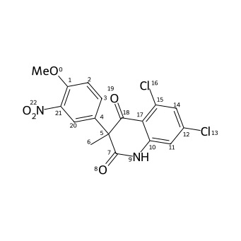 COc1ccc(C2(C)C(=O)Nc3cc(Cl)cc(Cl)c3C2=O)cc1[N+](=O)[O-]